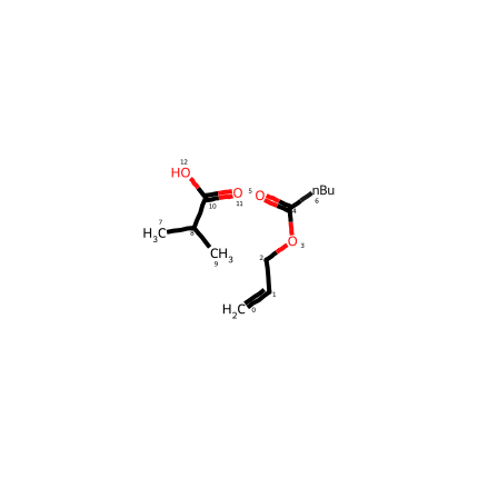 C=CCOC(=O)CCCC.CC(C)C(=O)O